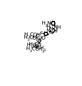 CC(C)(C)OC(=O)N1CC(O[Si](C)(C)C(C)(C)C)C[C@H]1COc1ccc(Nc2ncc(F)c(Nc3cccc(N)c3)n2)cc1F